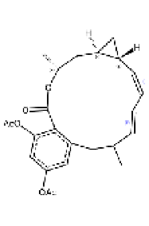 CC(=O)Oc1cc2c(c(OC(C)=O)c1)C(=O)O[C@H](C)C[C@H]1C[C@@H]1/C=C\C=C\C(C)C2